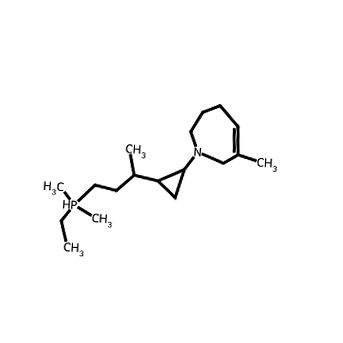 CC[PH](C)(C)CCC(C)C1CC1N1CCCC=C(C)C1